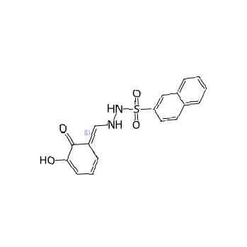 O=C1C(O)=CC=C/C1=C\NNS(=O)(=O)c1ccc2ccccc2c1